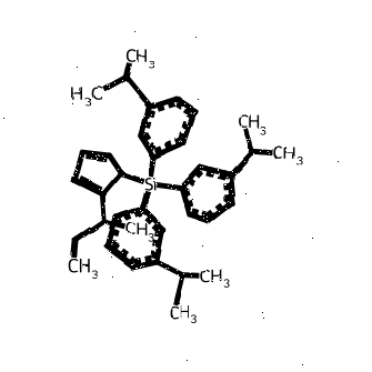 CCC(C)C1=CC=C[C]1[Si](c1cccc(C(C)C)c1)(c1cccc(C(C)C)c1)c1cccc(C(C)C)c1